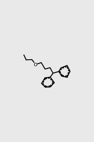 CCCOCCC[C](c1ccccc1)c1ccccc1